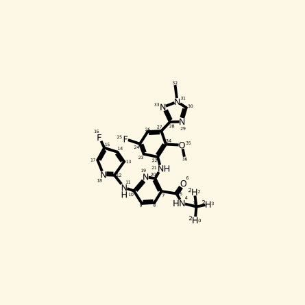 [2H]C([2H])([2H])NC(=O)c1ccc(Nc2ccc(F)cn2)nc1Nc1cc(F)cc(-c2ncn(C)n2)c1OC